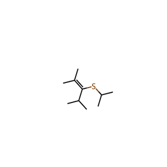 CC(C)=C(SC(C)C)C(C)C